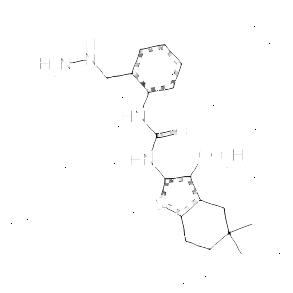 CC1(C)CCc2sc(NC(=O)Nc3ccccc3CNN)c(C(=O)O)c2C1